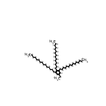 [CH2]Cc1cc(CCCCCCCCCCCCCCC)c(CCCCCCCCCCCCCCC)c(CCCCCCCCCCCCCCC)c1